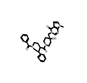 Cn1ccc2c(=O)n(CC3(O)CCN(C(=O)C4CCN(C(=O)c5ccccc5)CC4c4ccccc4)CC3)cnc21